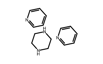 C1CNCCN1.c1ccncc1.c1ccncc1